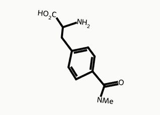 CNC(=O)c1ccc(CC(N)C(=O)O)cc1